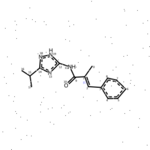 C/C(=C\c1ccccc1)C(=O)Nc1nc(C(C)C)n[nH]1